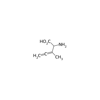 C=C=C(C)C(N)C(=O)O